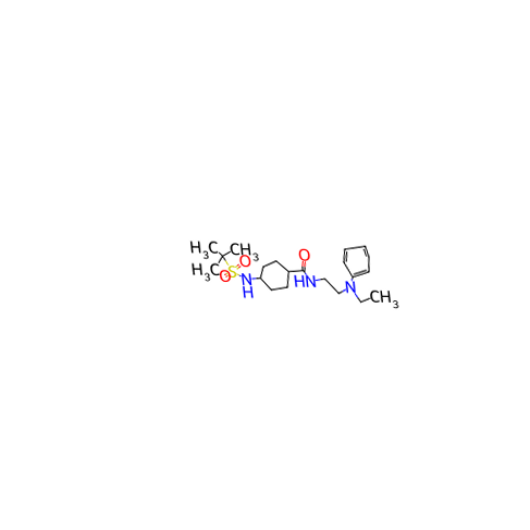 CCN(CCNC(=O)C1CCC(NS(=O)(=O)C(C)(C)C)CC1)c1ccccc1